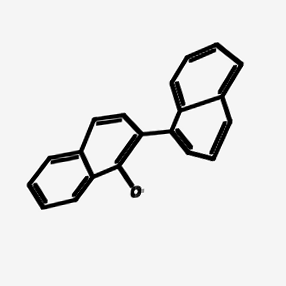 [O]c1c(-c2cccc3ccccc23)ccc2ccccc12